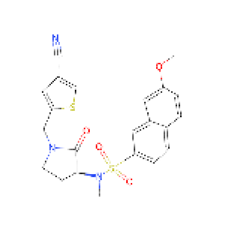 COc1ccc2ccc(S(=O)(=O)N(C)[C@H]3CCN(Cc4cc(C#N)cs4)C3=O)cc2c1